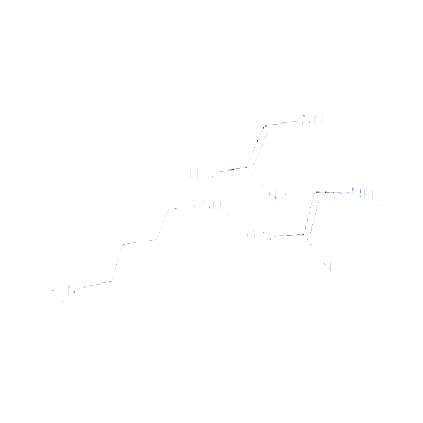 NC=C(N)N.NC=C(N)N.NCCCCN